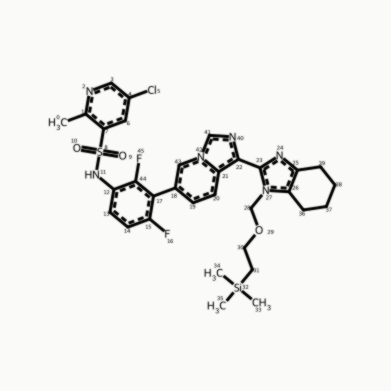 Cc1ncc(Cl)cc1S(=O)(=O)Nc1ccc(F)c(-c2ccc3c(-c4nc5c(n4COCC[Si](C)(C)C)CCCC5)ncn3c2)c1F